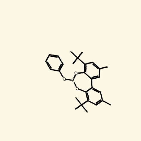 Cc1cc(C(C)(C)C)c2op(Oc3ccccc3)oc3c(C(C)(C)C)cc(C)cc3c2c1